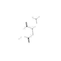 CC(C)OC(CC(=O)OI)C(=O)O